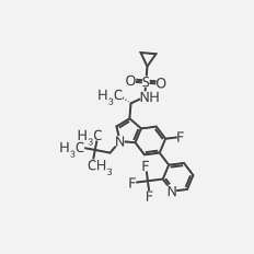 C[C@H](NS(=O)(=O)C1CC1)c1cn(CC(C)(C)C)c2cc(-c3cccnc3C(F)(F)F)c(F)cc12